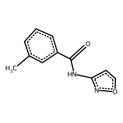 Cc1cccc(C(=O)Nc2ccon2)c1